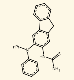 CCCN(c1ccccc1)c1cc2c(cc1NC(N)=S)Cc1ccccc1-2